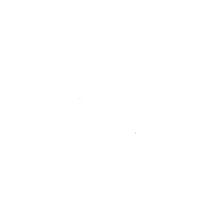 [CH2]Sc1cccc(Cl)c1